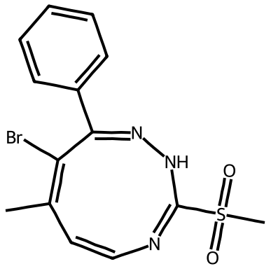 Cc1ccnc(S(C)(=O)=O)[nH]nc(-c2ccccc2)c1Br